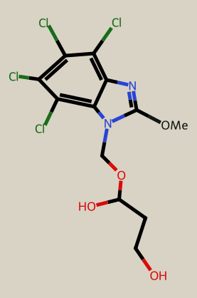 COc1nc2c(Cl)c(Cl)c(Cl)c(Cl)c2n1COC(O)CCO